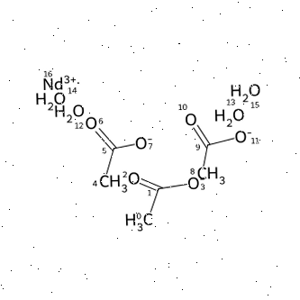 CC(=O)[O-].CC(=O)[O-].CC(=O)[O-].O.O.O.O.[Nd+3]